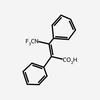 O=C(O)/C(=C(/NC(F)(F)F)c1ccccc1)c1ccccc1